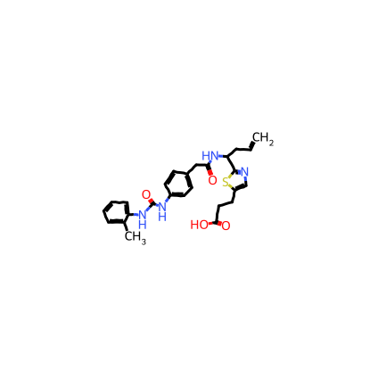 C=CCC(NC(=O)Cc1ccc(NC(=O)Nc2ccccc2C)cc1)c1ncc(CCC(=O)O)s1